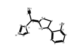 N#CC(=C1SCC(c2ccccc2Br)S1)n1ccnc1